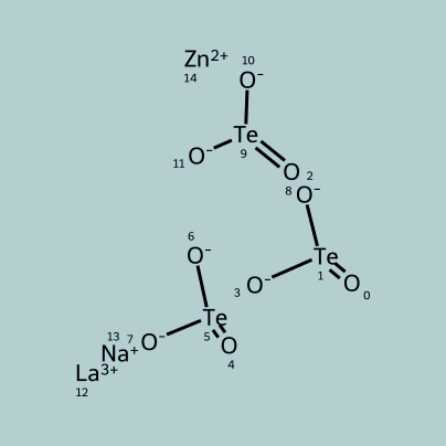 O=[Te]([O-])[O-].O=[Te]([O-])[O-].O=[Te]([O-])[O-].[La+3].[Na+].[Zn+2]